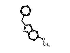 COc1ccc2oc(Cc3ccccc3)cc2c1